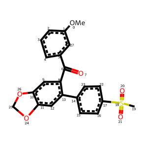 COc1cccc(C(=O)c2cc3c(cc2-c2ccc(S(C)(=O)=O)cc2)OCO3)c1